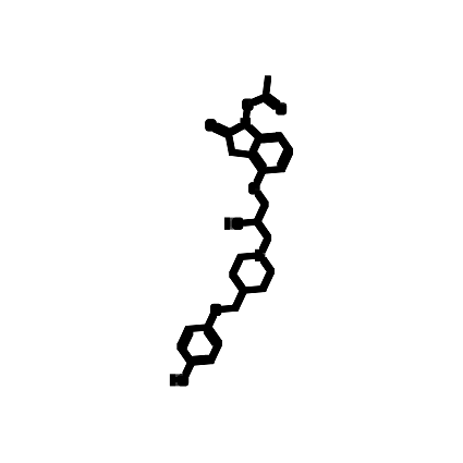 CC(=O)ON1C(=O)Cc2c(OCC(O)CN3CCC(COc4ccc(O)cc4)CC3)cccc21